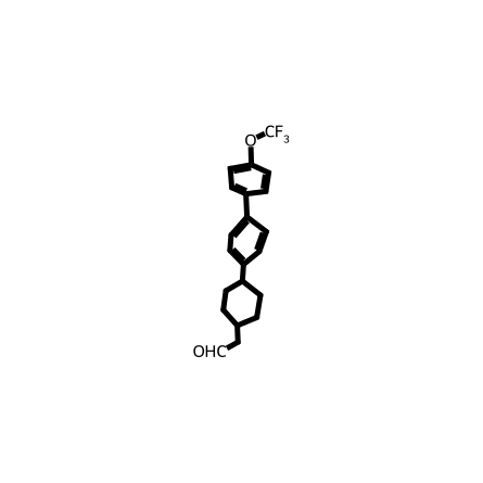 O=CCC1CCC(c2ccc(-c3ccc(OC(F)(F)F)cc3)cc2)CC1